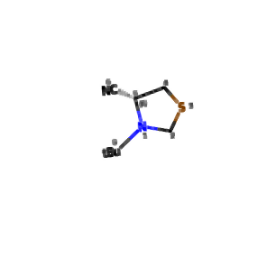 CC(C)(C)N1CSC[C@H]1C#N